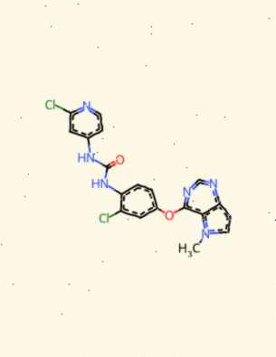 Cn1ccc2ncnc(Oc3ccc(NC(=O)Nc4ccnc(Cl)c4)c(Cl)c3)c21